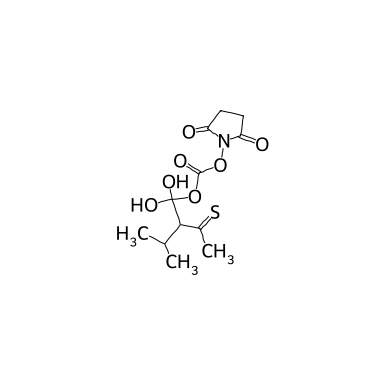 CC(=S)C(C(C)C)C(O)(O)OC(=O)ON1C(=O)CCC1=O